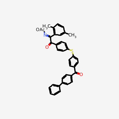 CC(=O)O/N=C(/C(=O)c1ccc(Sc2ccc(C(=O)c3ccc(-c4ccccc4)cc3)cc2)cc1)c1cc(C)ccc1C